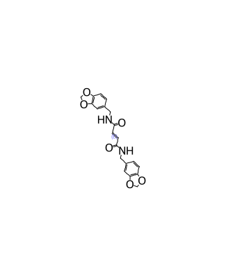 O=C(/C=C/C(=O)NCc1ccc2c(c1)OCO2)NCc1ccc2c(c1)OCO2